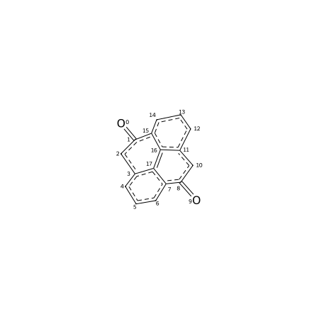 O=c1cc2cccc3c(=O)cc4cccc1c4=c23